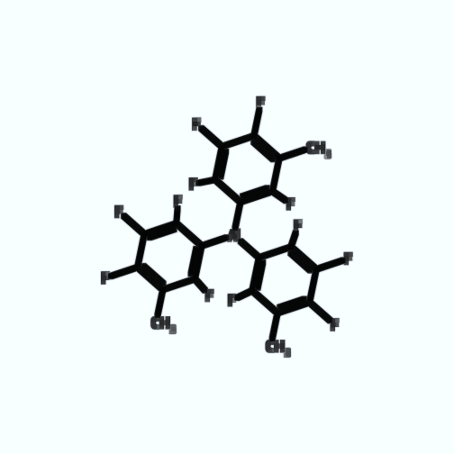 Cc1c(F)c(F)c(F)[c]([Al]([c]2c(F)c(C)c(F)c(F)c2F)[c]2c(F)c(C)c(F)c(F)c2F)c1F